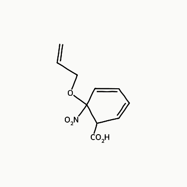 C=CCOC1([N+](=O)[O-])C=CC=CC1C(=O)O